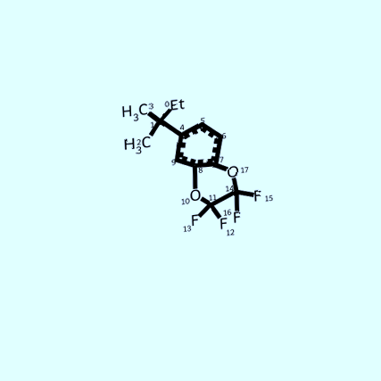 CCC(C)(C)c1ccc2c(c1)OC(F)(F)C(F)(F)O2